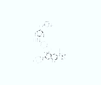 CN1CC[C@@H](Oc2cnc(N[C@H]3CC[C@@H](Oc4nc(N5CCOCC5)cc5ncc(NS(C)(=O)=O)cc45)CC3)nc2)C1